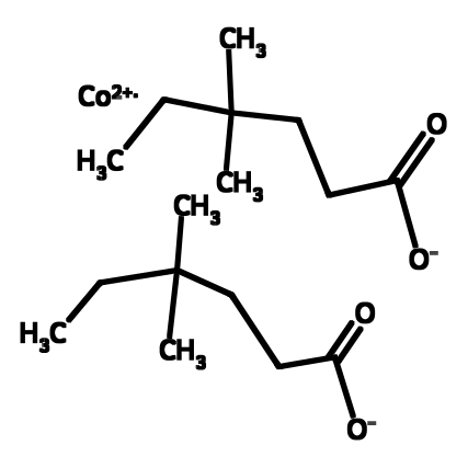 CCC(C)(C)CCC(=O)[O-].CCC(C)(C)CCC(=O)[O-].[Co+2]